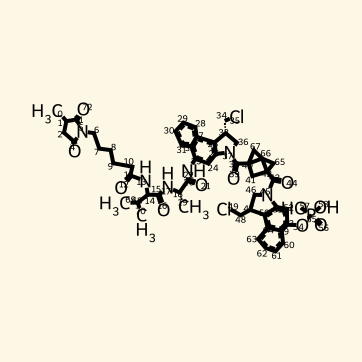 CC1CC(=O)N(CCCCCC(=O)NC(C(=O)N[C@@H](C)C(=O)Nc2cc3c(c4ccccc24)[C@H](CCl)CN3C(=O)C23CC4(C(=O)N5CC(CCl)c6c5cc(OP(=O)(O)O)c5ccccc65)CC42C3)C(C)C)C1=O